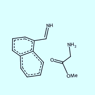 COC(=O)CN.N=Cc1cccc2ccccc12